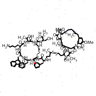 COc1cc2cc(c1Cl)N(C)C(=O)C[C@H](OC(=O)[C@H](C)N(C)C(=O)CCSSC(C)CCN[C@H](Cc1ccccc1)C(=O)N[C@H]1CSSC[C@@H](C(=O)N[C@H](CO)[C@@H](C)O)NC(=O)[C@H]([C@@H](C)O)NC(=O)[C@H](CCCCN)NC(=O)[C@@H](Cc3c[nH]c4ccccc34)NC(=O)[C@H](Cc3ccccc3)NC1=O)[C@]1(C)O[C@H]1[C@H](C)[C@@H]1C[C@@](O)(NC(=O)O1)[C@H](OC)CC/C=C(\C)C2